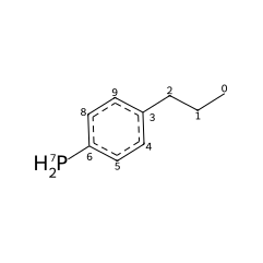 CCCc1ccc(P)cc1